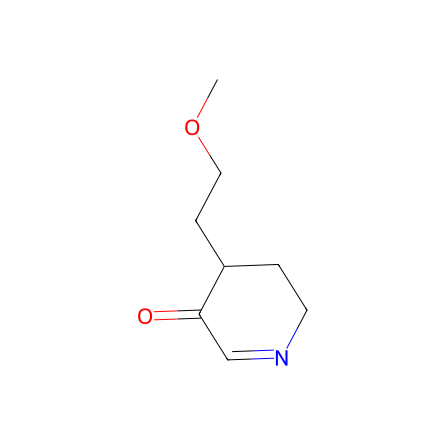 COCCC1CCN=CC1=O